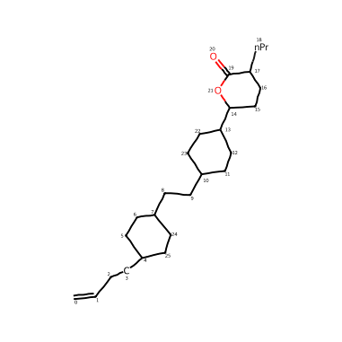 C=CCCC1CCC(CCC2CCC(C3CCC(CCC)C(=O)O3)CC2)CC1